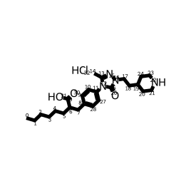 CCCCCCC(Cc1ccc(-n2c(C)nn(CCC3CCNCC3)c2=O)cc1)C(=O)O.Cl